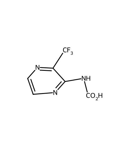 O=C(O)Nc1nccnc1C(F)(F)F